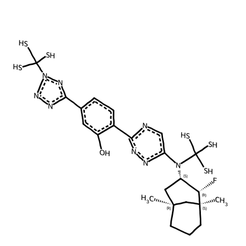 C[C@@]12CCC[C@@](C)(C1)[C@@H](F)[C@@H](N(c1cnc(-c3ccc(-c4nnn(C(S)(S)S)n4)cc3O)nn1)C(S)(S)S)C2